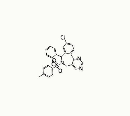 Cc1ccc(S(=O)(=O)N2Cc3cncnc3-c3ccc(Cl)cc3C2c2ccccc2Cl)cc1